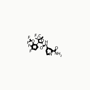 C[C@@H]1[C@H](c2ccc(F)c(F)c2OC(F)F)[C@@H](C(=O)Nc2ccnc(C(N)=O)c2)O[C@@]1(C)C(F)(F)F